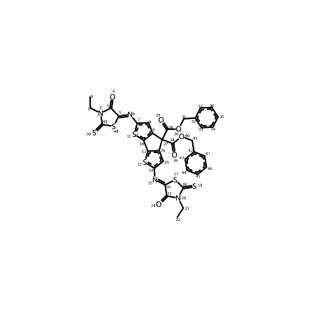 CCN1C(=O)/C(=N/c2cc3c(s2)-c2sc(/N=C4\SC(=S)N(CC)C4=O)cc2C3(C(=O)OCc2ccccc2)C(=O)OCc2ccccc2)SC1=S